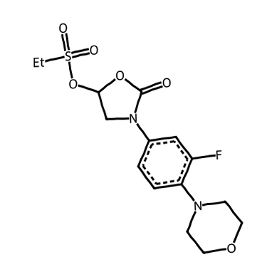 CCS(=O)(=O)OC1CN(c2ccc(N3CCOCC3)c(F)c2)C(=O)O1